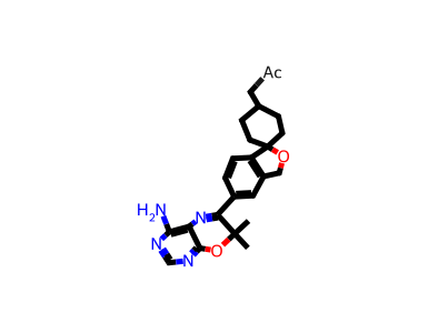 CC(=O)CC1CCC2(CC1)OCc1cc(C3=Nc4c(N)ncnc4OC3(C)C)ccc12